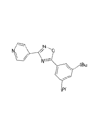 CC(C)c1cc(-c2nc(-c3ccncc3)no2)cc(C(C)(C)C)c1